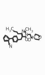 CCCCc1nc(C)n(CC(=O)N2CCOCC2)c(=O)c1Cc1ccc(-c2ccccc2C#N)cc1